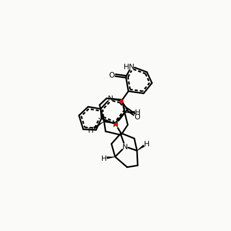 O=c1[nH]cccc1-c1nc2ccccc2n(C2C[C@H]3CC[C@@H](C2)N3C2C[C@H]3CCC[C@@H](C2)C3)c1=O